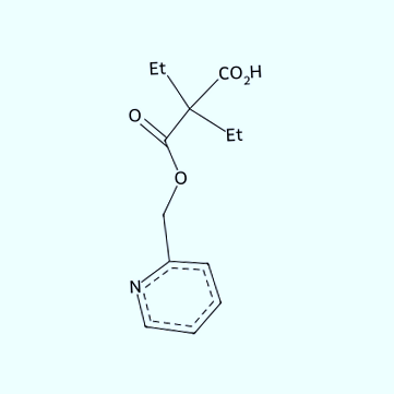 CCC(CC)(C(=O)O)C(=O)OCc1ccccn1